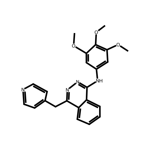 COc1cc(Nc2nnc(Cc3ccncc3)c3ccccc23)cc(OC)c1OC